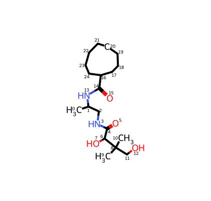 CC(CNC(=O)C(O)C(C)(C)CO)NC(=O)C1CCCCCCCC1